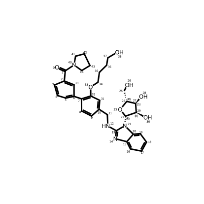 O=C(c1cccc(-c2ccc(CNc3nc4ccccc4n3[C@@H]3O[C@H](CO)[C@@H](O)[C@H]3O)cc2OCCCCO)c1)N1CCCC1